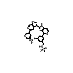 CC(C)Nc1cncc(-c2cc3c(-c4nc5c(-c6cc(F)cc(CNS(C)(=O)=O)c6)nccc5[nH]4)n[nH]c3cn2)c1